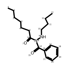 CCCCCCC(=O)N(NCCCC)C(=O)c1ccccc1